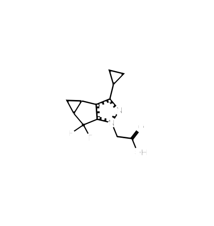 O=C(O)Cn1nc(C2CC2)c2c1C(F)(F)C1CC21